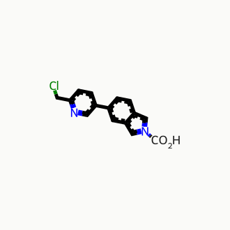 O=C(O)n1cc2ccc(-c3ccc(CCl)nc3)cc2c1